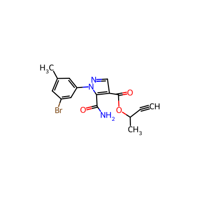 C#CC(C)OC(=O)c1cnn(-c2cc(C)cc(Br)c2)c1C(N)=O